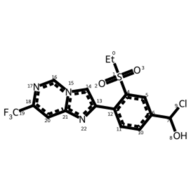 CCS(=O)(=O)c1cc(C(O)Cl)ccc1-c1cn2cnc(C(F)(F)F)cc2n1